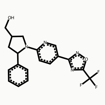 OCC1CC(c2ccccc2)N(c2ccc(-c3noc(C(F)(F)F)n3)cn2)C1